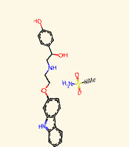 CNS(N)(=O)=O.Oc1ccc([C@@H](O)CNCCOc2ccc3c(c2)[nH]c2ccccc23)cc1